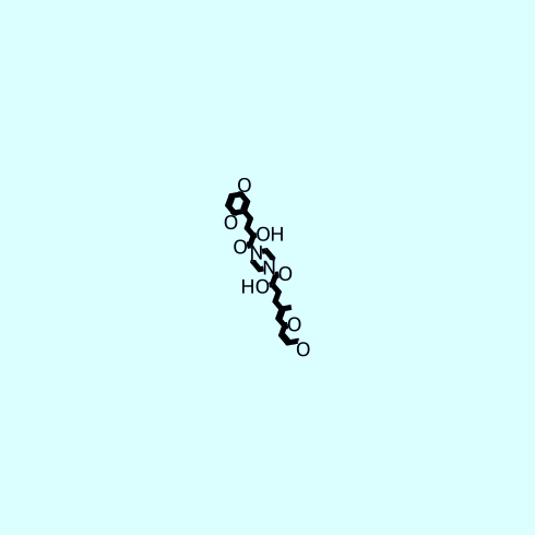 C/C(=C\C(=O)/C=C\C=O)CCC(O)C(=O)N1CCN(C(=O)C(O)CCC2=CC(=O)C=CC2=O)CC1